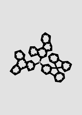 c1ccc2c(c1)-c1ccccc1C21c2ccccc2-c2ccc(N(c3ccc4c5ccccc5c5ccccc5c4c3)c3cc4ccc5ccccc5c4c4ccccc34)cc21